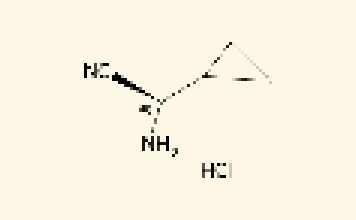 Cl.N#C[C@H](N)C1CC1